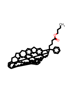 CCCCOC(=O)CCCC1(c2ccccc2)C2c3cc4c5cc3c3c6c7c(cc8c9c%10c%11c%12c%13c%14c(cc(c5c%14c5c(C)c3c(c79)c%10c5%13)C4)CC=%12CC%11C8)=CC621